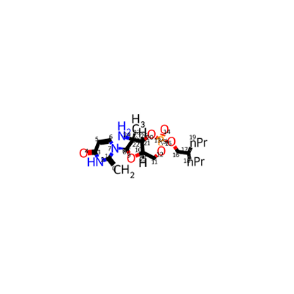 C=C1NC(=O)C=CN1[C@@H]1O[C@@H]2CO[P@](=O)(OCC(CCC)CCC)O[C@H]2[C@@]1(C)N